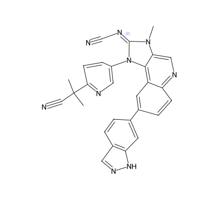 Cn1/c(=N/C#N)n(-c2ccc(C(C)(C)C#N)nc2)c2c3cc(-c4ccc5cn[nH]c5c4)ccc3ncc21